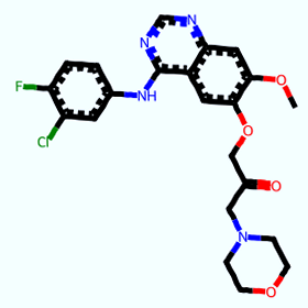 COc1cc2ncnc(Nc3ccc(F)c(Cl)c3)c2cc1OCC(=O)CN1CCOCC1